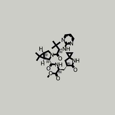 COC(=O)[C@H](C[C@@H]1CC2(CC2)NC1=O)NC(=O)[C@@H]1[C@@H]2[C@H](CN1C(=O)[C@@H](Nc1ncccn1)C(C)(C)C)C2(C)C